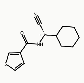 N#C[C@@H](NC(=O)c1ccsc1)C1CCCCC1